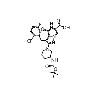 CC(C)(C)OC(=O)N[C@@H]1CCCN(c2nn3cc(C(=O)O)[nH]c(=O)c3c2Cc2cc(F)ccc2Cl)C1